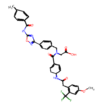 COc1ccc(CC(=O)NC2C=CC(C(=O)N(CC(=O)O)Cc3ccc(-c4noc(NC(=O)c5ccc(C)cc5)n4)cc3)=CC2)c(C(F)(F)F)c1